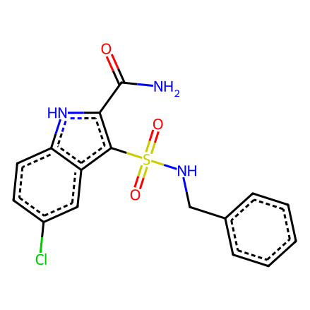 NC(=O)c1[nH]c2ccc(Cl)cc2c1S(=O)(=O)NCc1ccccc1